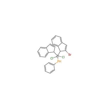 [Cl][Zr]([Cl])([PH]c1ccccc1)([CH]1C=Cc2ccccc21)[CH]1C(Br)=Cc2ccccc21